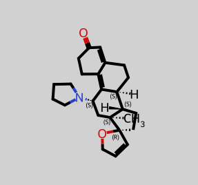 C[C@]12C[C@H](N3CCCC3)C3=C4CCC(=O)C=C4CC[C@H]3[C@@H]1CC[C@@]21C=CCO1